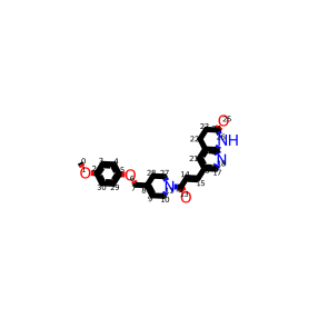 COc1ccc(OCC2=CCN(C(=O)C=Cc3cnc4c(c3)CCC(=O)N4)CC2)cc1